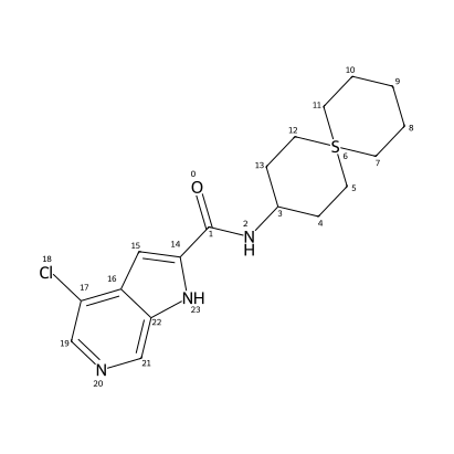 O=C(NC1CCS2(CCCCC2)CC1)c1cc2c(Cl)cncc2[nH]1